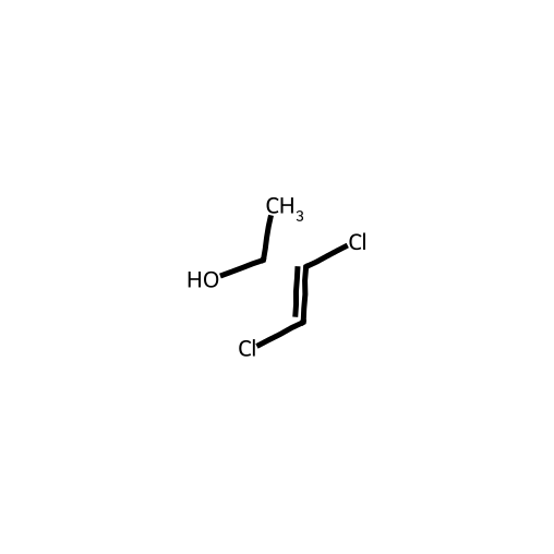 CCO.ClC=CCl